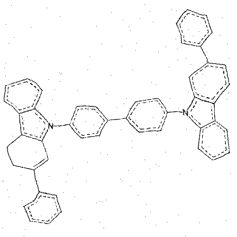 C1=C(c2ccccc2)CCc2c1n(-c1ccc(-c3ccc(-n4c5ccccc5c5ccc(-c6ccccc6)cc54)cc3)cc1)c1ccccc21